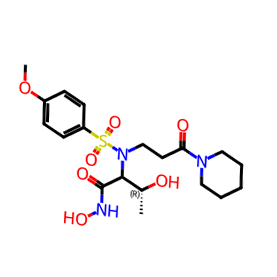 COc1ccc(S(=O)(=O)N(CCC(=O)N2CCCCC2)C(C(=O)NO)[C@@H](C)O)cc1